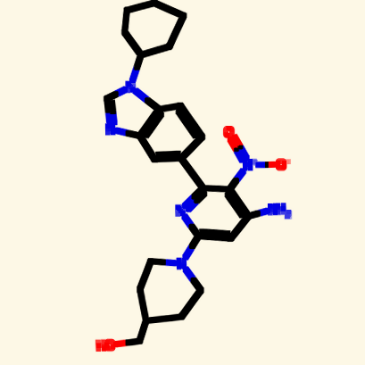 Nc1cc(N2CCC(CO)CC2)nc(-c2ccc3c(c2)ncn3C2CCCCC2)c1[N+](=O)[O-]